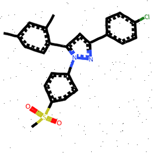 Cc1ccc(-c2cc(-c3ccc(Cl)cc3)nn2-c2ccc(S(C)(=O)=O)cc2)c(C)c1